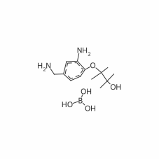 CC(C)(O)C(C)(C)Oc1ccc(CN)cc1N.OB(O)O